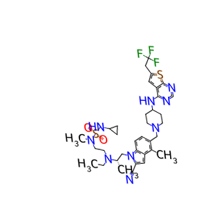 CCN(CCN(C)S(=O)(=O)NC1CC1)[C@@H](C)Cn1c(C#N)cc2c(C)c(CN3CCC(Nc4ncnc5sc(CC(F)(F)F)cc45)CC3)ccc21